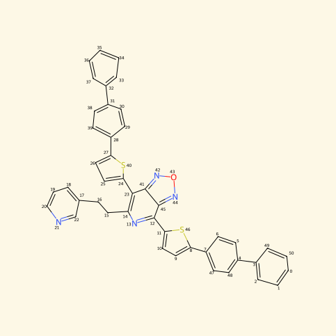 c1ccc(-c2ccc(-c3ccc(-c4nc(CCc5cccnc5)c(-c5ccc(-c6ccc(-c7ccccc7)cc6)s5)c5nonc45)s3)cc2)cc1